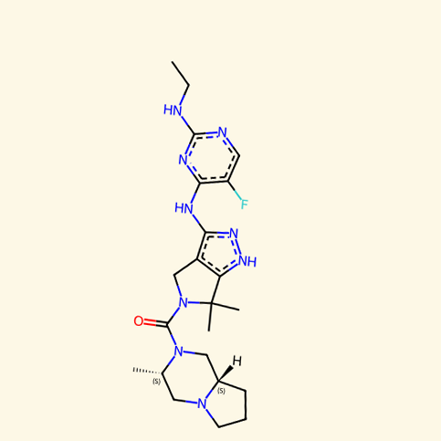 CCNc1ncc(F)c(Nc2n[nH]c3c2CN(C(=O)N2C[C@@H]4CCCN4C[C@@H]2C)C3(C)C)n1